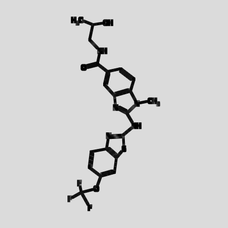 CC(O)CNC(=O)c1ccc2c(c1)nc(Nc1nc3ccc(OC(F)(F)F)cc3s1)n2C